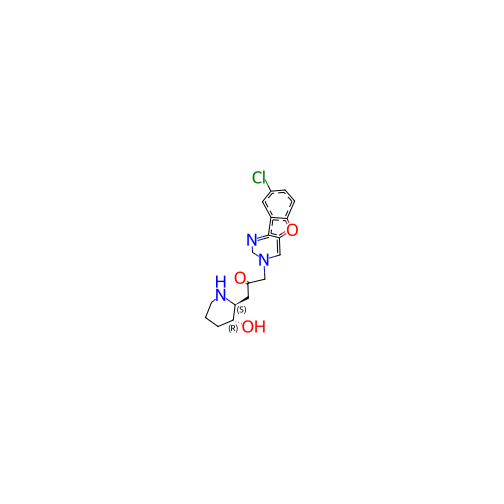 O=C(C[C@@H]1NCCC[C@H]1O)CN1C=c2oc3ccc(Cl)cc3c2=NC1